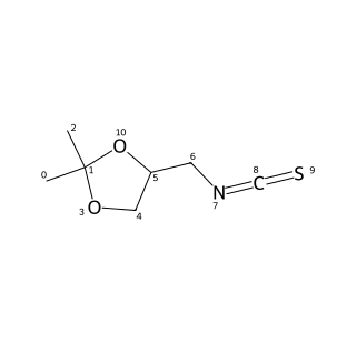 CC1(C)OCC(CN=C=S)O1